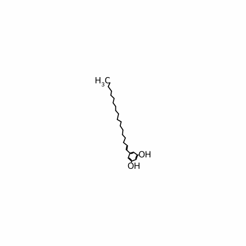 CCCCCCCCCCCCCCCCC/C=C/c1cc(O)cc(O)c1